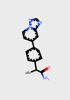 CCCCC(C(N)=O)c1ccc(-c2ccn3ncnc3c2)cc1